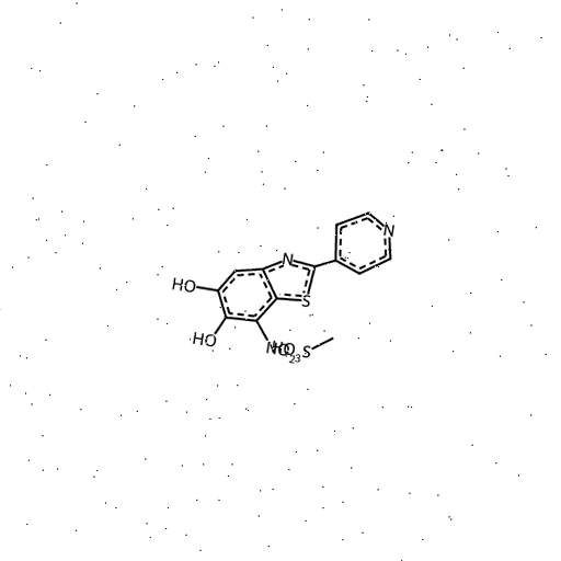 CS(=O)(=O)O.O=[N+]([O-])c1c(O)c(O)cc2nc(-c3ccncc3)sc12